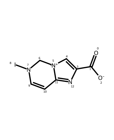 O=C([O-])C1=C[N+]2CN(I)C=CC2=N1